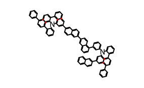 c1ccc(-c2ccc(-c3ccccc3N(c3cccc(-c4ccc5ccccc5c4)c3)c3cccc(-c4cccc5cc(-c6ccc7cc(-c8cccc(N(c9ccccc9-c9ccccc9)c9ccccc9-c9ccc(-c%10ccccc%10)cc9)c8)ccc7c6)ccc45)c3)cc2)cc1